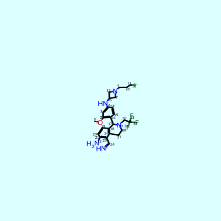 COc1cc(NC2CN(CCCF)C2)ccc1C1c2ccc(N)c(C=N)c2CCN1CC(F)(F)F